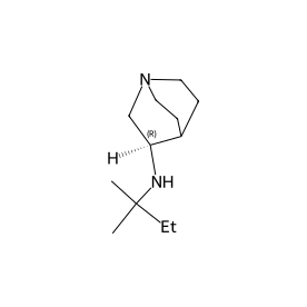 CCC(C)(C)N[C@H]1CN2CCC1CC2